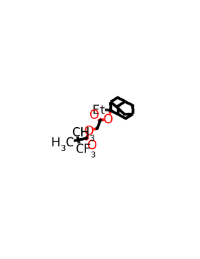 CCC1(OC(=O)COC(=O)C(C)(C)C(F)(F)F)C2CC3CC(C2)CC1C3